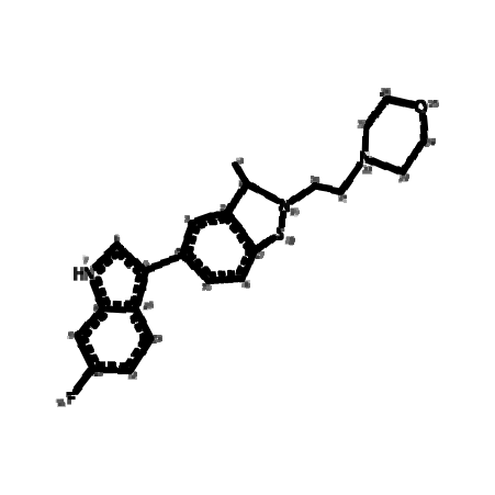 CC1c2cc(-c3c[nH]c4cc(F)ccc34)ccc2SN1CCN1CCOCC1